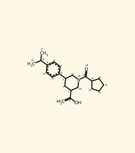 C=C(O)C1CC(c2ccc(C(C)C)cc2)CN(C(=O)C2CCCC2)C1